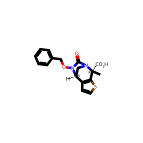 C[C@@]1(C(=O)O)c2sccc2[C@@H]2CN1C(=O)N2OCc1ccccc1